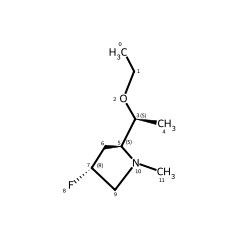 CCO[C@@H](C)[C@@H]1C[C@@H](F)CN1C